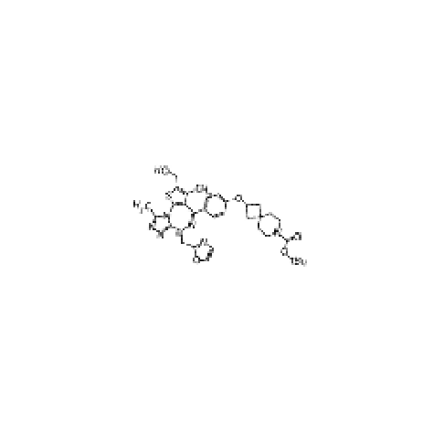 Cc1c(CO)sc2c1C(c1ccc(OC3CC4(CCN(C(=O)OC(C)(C)C)CC4)C3)cc1)=N[C@@H](Cc1ncco1)c1nnc(C)n1-2